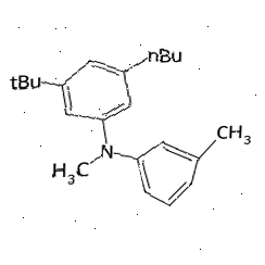 CCCCc1cc(N(C)c2cccc(C)c2)cc(C(C)(C)C)c1